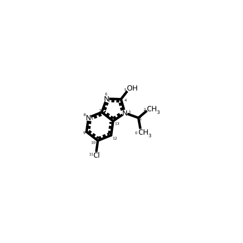 CC(C)n1c(O)nc2ncc(Cl)cc21